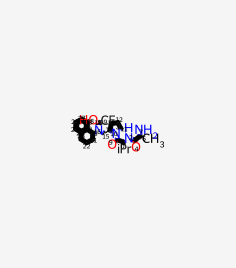 CC(C)[C@H](NC(=O)[C@H](C)N)C(=O)N1CCC[C@H]1CN(C(O)C(F)(F)F)[C@@H]1CCCc2ccccc21